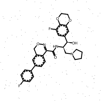 O=C(N[C@H](CN1CCCC1)[C@H](O)c1cc(F)c2c(c1)OCCO2)C1=NOCc2cc(-c3ccc(F)cc3)ccc21